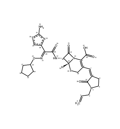 C=CCN1CCC(=CC2=C(C(=O)O)N3C(=O)[C@@H](NC(=O)C(=NOC4CCCC4)c4csc(N)n4)[C@H]3SC2)C1=O